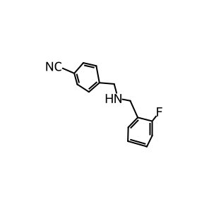 N#Cc1ccc(CNCc2ccccc2F)cc1